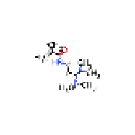 C=C(C)C(=O)NCCC(N(C)C)N(C)C